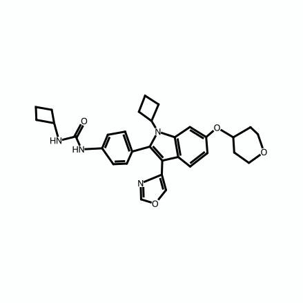 O=C(Nc1ccc(-c2c(-c3cocn3)c3ccc(OC4CCOCC4)cc3n2C2CCC2)cc1)NC1CCC1